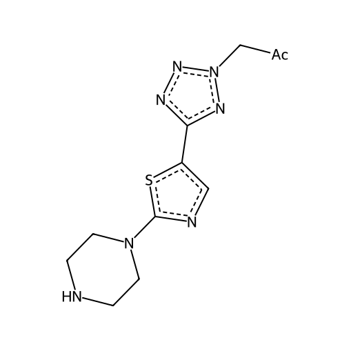 CC(=O)Cn1nnc(-c2cnc(N3CCNCC3)s2)n1